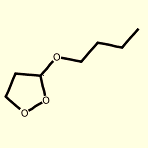 CCCCO[C]1CCOO1